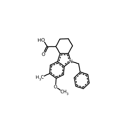 COc1cc2c(cc1C)c1c(n2Cc2ccccc2)CCCC1C(=O)O